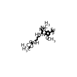 COc1cc(C(F)(F)F)cc2c1nc(NCCCCNC(=O)OC(C)C)c1nnc(C)n12